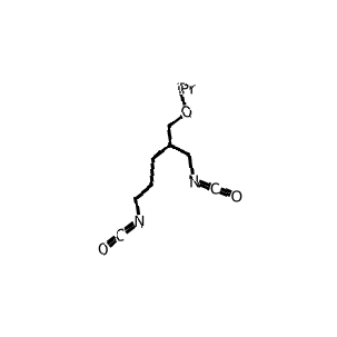 CC(C)OCC(CCCN=C=O)CN=C=O